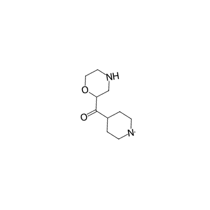 O=C(C1CC[N]CC1)C1CNCCO1